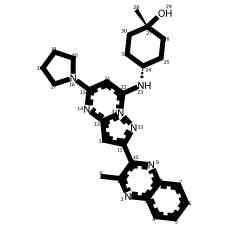 Cc1nc2ccccc2nc1-c1cc2nc(N3CCCC3)cc(N[C@H]3CC[C@@](C)(O)CC3)n2n1